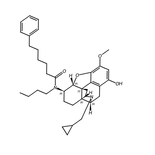 CCCCN(C(=O)CCCCCc1ccccc1)[C@@H]1CC[C@H]2[C@H]3Cc4c(O)cc(OC)c5c4[C@@]2(CCN3CC2CC2)[C@H]1O5